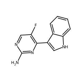 Nc1ncc(F)c(-c2c[nH]c3ccccc23)n1